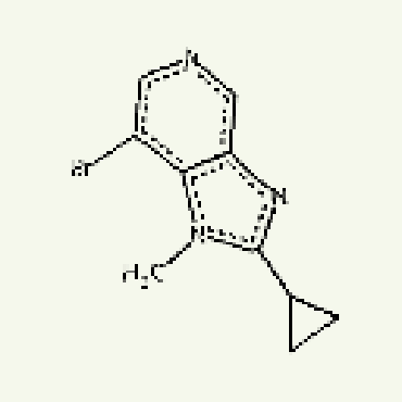 Cn1c(C2CC2)nc2cncc(Br)c21